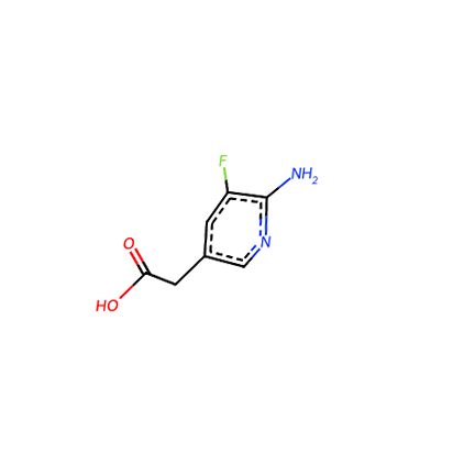 Nc1ncc(CC(=O)O)cc1F